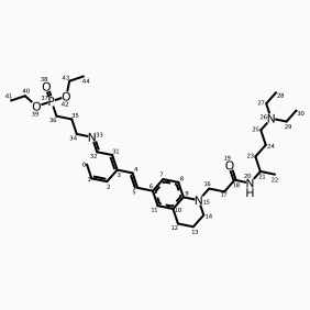 C\C=C/C(C=Cc1ccc2c(c1)CCCN2CCC(=O)NC(C)CCCN(CC)CC)=C\C=N\CCCP(=O)(OCC)OCC